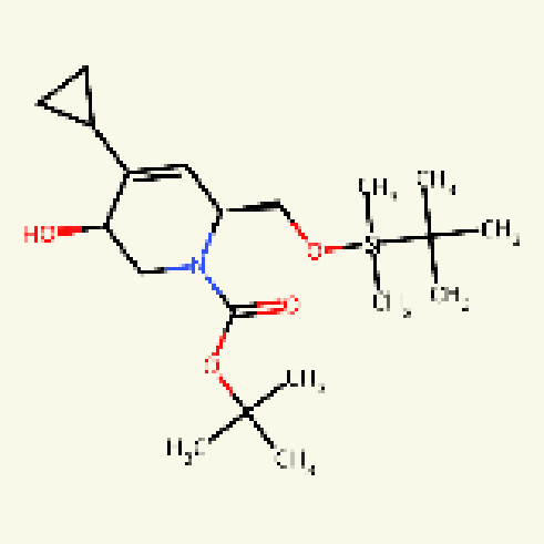 CC(C)(C)OC(=O)N1C[C@@H](O)C(C2CC2)=C[C@H]1CO[Si](C)(C)C(C)(C)C